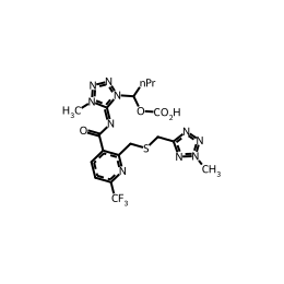 CCCC(OC(=O)O)n1nnn(C)c1=NC(=O)c1ccc(C(F)(F)F)nc1CSCc1nnn(C)n1